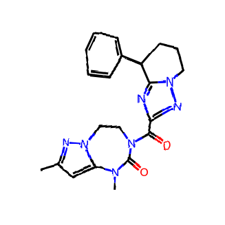 Cc1cc2n(n1)CCN(C(=O)c1nc3n(n1)CCCC3c1ccccc1)C(=O)N2C